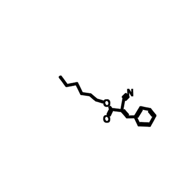 CCCCCCOC(=O)/C(C#N)=C/c1ccccc1